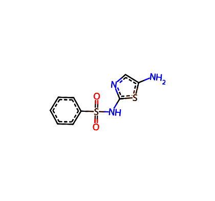 Nc1cnc(NS(=O)(=O)c2ccccc2)s1